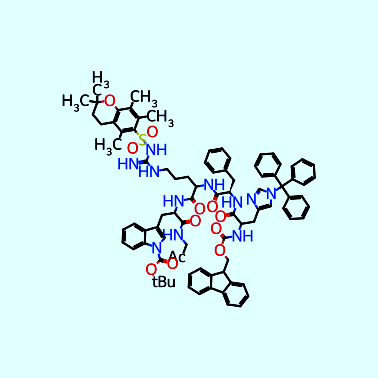 CC(=O)CNC(=O)C(Cc1cn(C(=O)OC(C)(C)C)c2ccccc12)NC(=O)C(CCCNC(=N)NS(=O)(=O)c1c(C)c(C)c2c(c1C)CCC(C)(C)O2)NC(=O)[C@@H](Cc1ccccc1)NC(=O)C(Cc1cn(C(c2ccccc2)(c2ccccc2)c2ccccc2)cn1)NC(=O)OCC1c2ccccc2-c2ccccc21